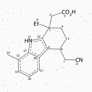 CCC1(CC(=O)O)CCC(CC#N)c2c1[nH]c1c(C)cccc21